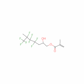 C=C(C)C(=O)OCC(O)CC(F)(F)C(F)(F)C(C)(F)C(F)(F)F